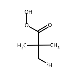 [2H]CC(C)(C)C(=O)OO